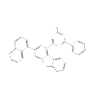 Clc1nc(-c2ccccc2)nc(-c2cc(-c3cccc4ccccc34)cc3oc4ccccc4c23)n1